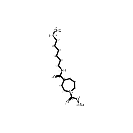 CC(C)(C)OC(=O)N1CCCC(C(=O)NCCCCCCNC=O)CC1